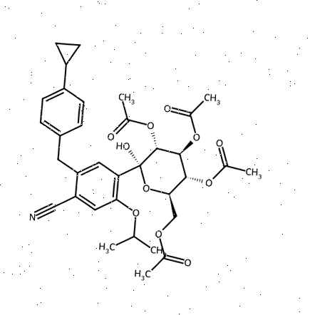 CC(=O)OC[C@H]1O[C@@](O)(c2cc(Cc3ccc(C4CC4)cc3)c(C#N)cc2OC(C)C)[C@H](OC(C)=O)[C@@H](OC(C)=O)[C@@H]1OC(C)=O